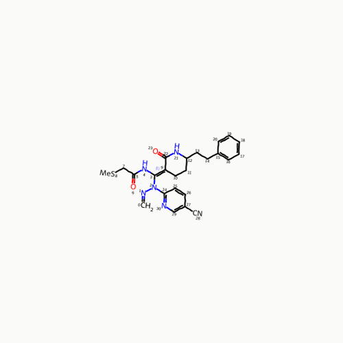 C=NN(/C(NC(=O)CSC)=C1\CCC(CCc2ccccc2)NC1=O)c1ccc(C#N)cn1